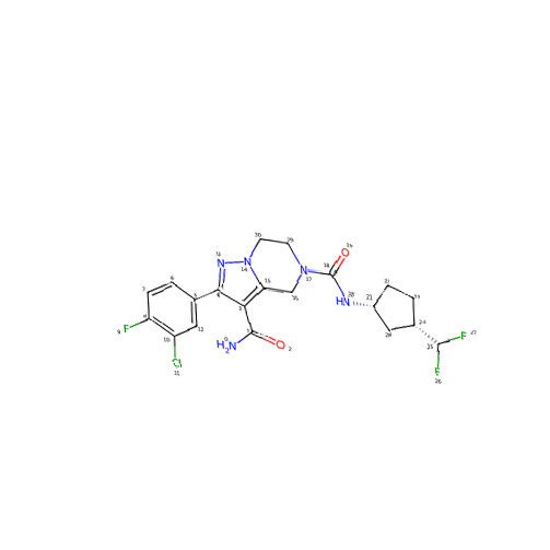 NC(=O)c1c(-c2ccc(F)c(Cl)c2)nn2c1CN(C(=O)N[C@@H]1CC[C@H](C(F)F)C1)CC2